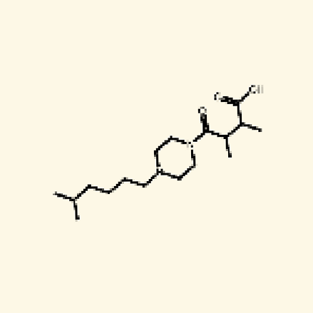 CC(C)CCCCN1CCN(C(=O)C(C)C(C)C(=O)O)CC1